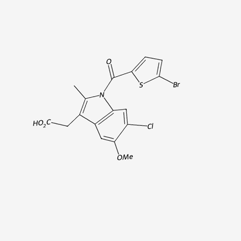 COc1cc2c(CC(=O)O)c(C)n(C(=O)c3ccc(Br)s3)c2cc1Cl